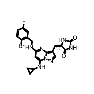 O=C1NC(=O)/C(=C\c2cnn3c(NC4CC4)cc(NCc4cc(F)ccc4Br)nc23)N1